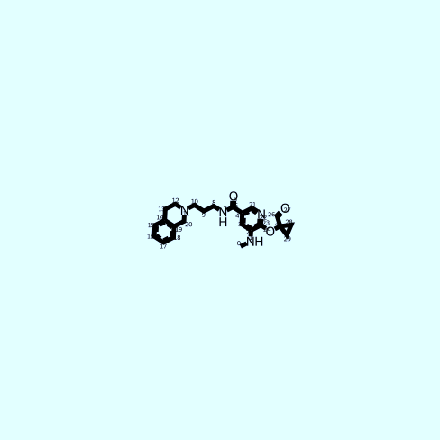 CNc1cc(C(=O)NCCCN2CCc3ccccc3C2)cnc1OC1(C=O)CC1